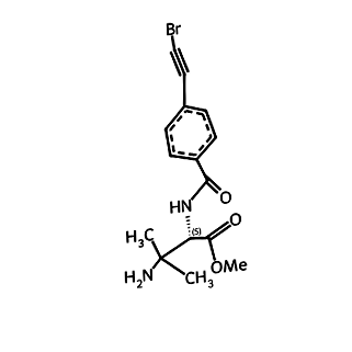 COC(=O)[C@@H](NC(=O)c1ccc(C#CBr)cc1)C(C)(C)N